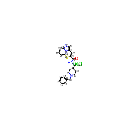 Cl.Cl.O=C(NCC1CCN(Cc2ccccc2)CC1)C1=Cc2cnc3cccc(n23)S1